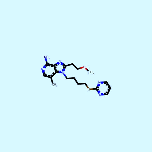 COCCc1nc2c(N)ncc(C)c2n1CCCCSc1ncccn1